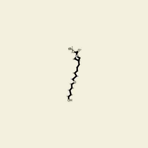 CC(C)(C)OC(=O)N1CC(CCCCCCOCCCCCO)C1